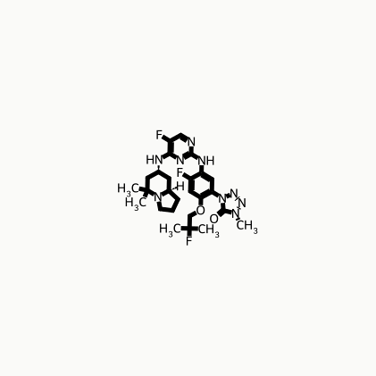 Cn1nnn(-c2cc(Nc3ncc(F)c(N[C@@H]4C[C@H]5CCCN5C(C)(C)C4)n3)c(F)cc2OCC(C)(C)F)c1=O